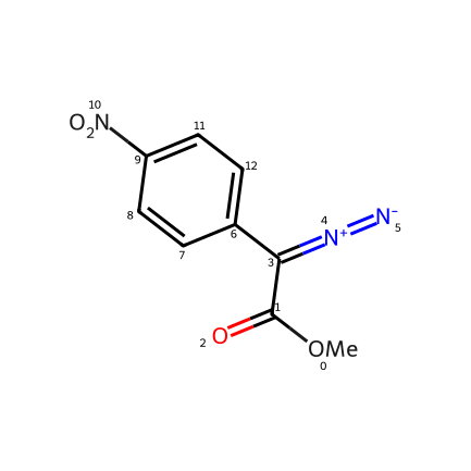 COC(=O)C(=[N+]=[N-])c1ccc([N+](=O)[O-])cc1